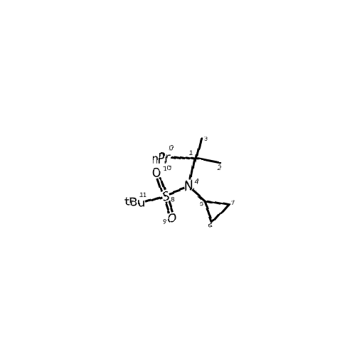 CCCC(C)(C)N(C1CC1)S(=O)(=O)C(C)(C)C